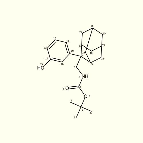 CC(C)(C)OC(=O)NCC1(c2cccc(O)c2)C2CC3CC(C2)CC1C3